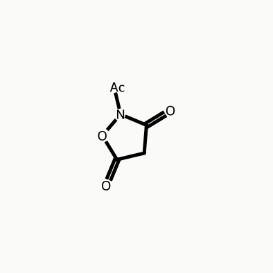 CC(=O)N1OC(=O)CC1=O